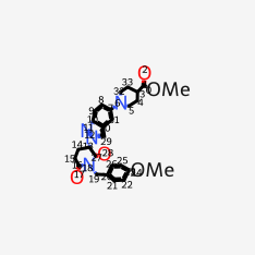 COC(=O)C1CCN(c2ccc3nn(C4CCC(=O)N(Cc5ccc(OC)cc5)C4=O)cc3c2)CC1